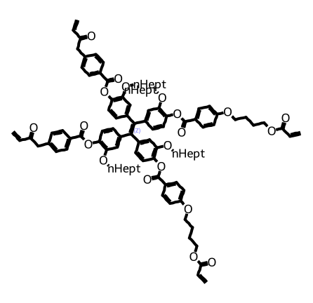 C=CC(=O)Cc1ccc(C(=O)Oc2ccc(/C(=C(\c3ccc(OC(=O)c4ccc(CC(=O)C=C)cc4)c(OCCCCCCC)c3)c3ccc(OC(=O)c4ccc(OCCCCOC(=O)C=C)cc4)c(OCCCCCCC)c3)c3ccc(OC(=O)c4ccc(OCCCCOC(=O)C=C)cc4)c(OCCCCCCC)c3)cc2OCCCCCCC)cc1